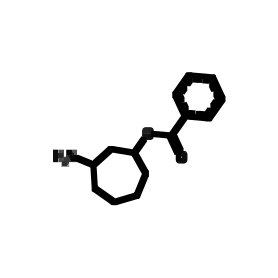 NC1CCCCC(OC(=O)c2ccccc2)C1